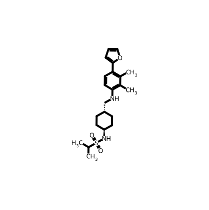 Cc1c(NC[C@H]2CC[C@H](NS(=O)(=O)C(C)C)CC2)ccc(-c2ccco2)c1C